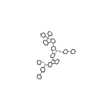 c1ccc(CC(c2ccc(-c3ccccc3)cc2)c2ccc3c4ccccc4n(-c4ccc5c(c4)C(CCc4ccc(-c6ccccc6)cc4)c4cc(-c6cccc7c6-c6ccccc6C7(c6ccccc6)c6ccccc6)ccc4-5)c3c2)cc1